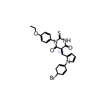 CCOc1ccc(N2C(=O)/C(=C/c3cccn3C3=CCC(Br)C=C3)C(=O)NC2=S)cc1